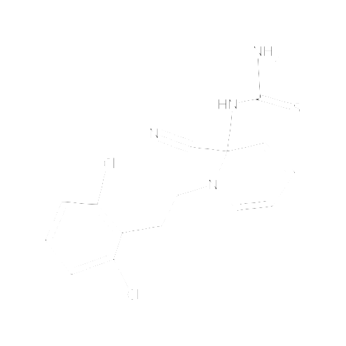 N#CC1(NC(N)=S)C=CC=CN1CCc1c(Cl)cccc1Cl